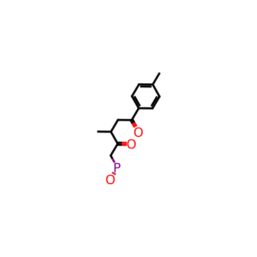 Cc1ccc(C(=O)CC(C)C(=O)CP=O)cc1